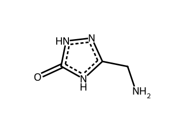 NCc1n[nH]c(=O)[nH]1